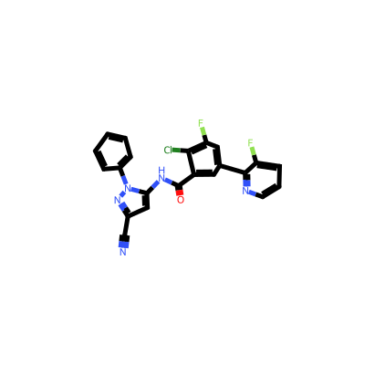 N#Cc1cc(NC(=O)c2cc(-c3ncccc3F)cc(F)c2Cl)n(-c2ccccc2)n1